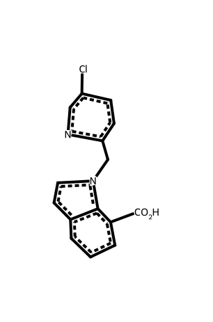 O=C(O)c1cccc2ccn(Cc3ccc(Cl)cn3)c12